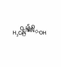 C[C@H]1CCCN1C(=O)c1csc(C(=O)N[C@H]2C[C@H](O)C2)n1